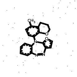 Cc1ccc(N2c3ccccc3N=Nc3ccoc32)c2c1CCCO2